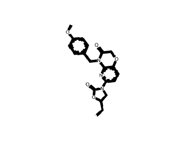 [CH2]CC1CN(c2ccc3c(n2)N(Cc2ccc(OC)cc2)C(=O)CO3)C(=O)O1